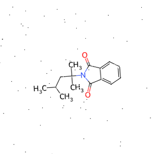 CC(C)CC(C)(C)N1C(=O)c2ccccc2C1=O